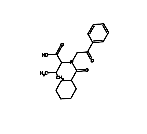 CC(C)C(C(=O)O)N(CC(=O)c1ccccc1)C(=O)C1CCCCC1